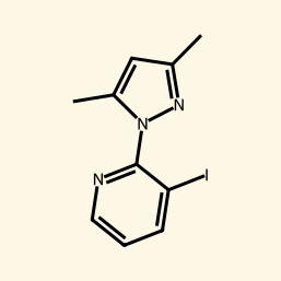 Cc1cc(C)n(-c2ncccc2I)n1